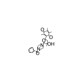 CC1=C(C)C(=O)C(CCC(C)(O)C(=O)N2CCN(C(=O)c3ccccc3)CC2)=C(C)C1=O